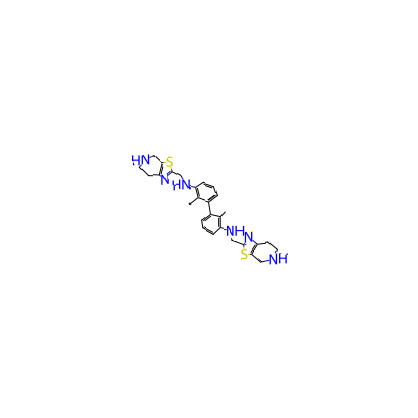 Cc1c(NCc2nc3c(s2)CNCC3)cccc1-c1cccc(NCc2nc3c(s2)CNCC3)c1C